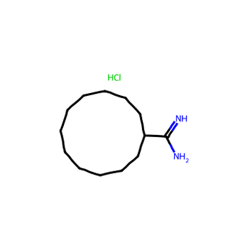 Cl.N=C(N)C1CCCCCCCCCCC1